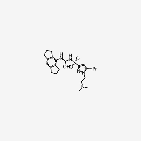 CC(C)c1cc(S(=O)(=O)NC(O)Nc2c3c(cc4c2CCC4)CCC3)nn1CCN(C)C